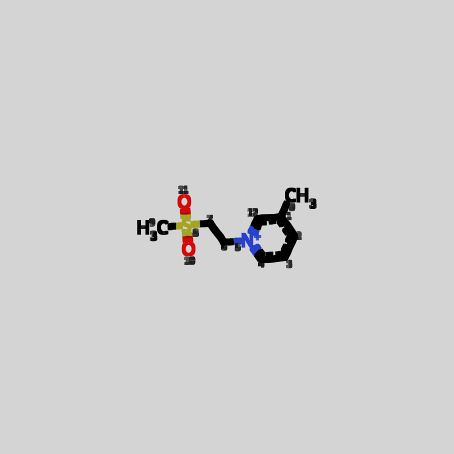 Cc1ccc[n+](CCS(C)(=O)=O)c1